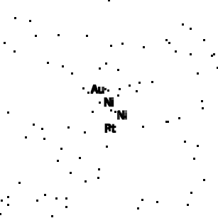 [Au].[Ni].[Ni].[Pt]